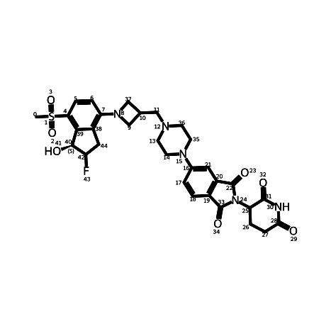 CS(=O)(=O)c1ccc(N2CC(CN3CCN(c4ccc5c(c4)C(=O)N(C4CCC(=O)NC4=O)C5=O)CC3)C2)c2c1[C@H](O)C(F)C2